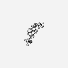 CC(=O)O[C@H]1CC[C@]23C[C@]24CC[C@]2(C)C(CCC(=O)C(C)C)CC[C@@]2(C)C4CCC3C1(C)C